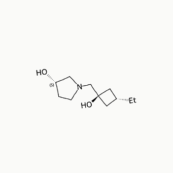 CC[C@H]1C[C@@](O)(CN2CC[C@H](O)C2)C1